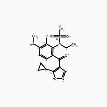 CCN(c1c(C(=O)c2cnoc2C2CC2)ccc(SC)c1Cl)S(C)(=O)=O